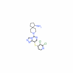 N[C@@H]1CCCC12CCN(c1ncc(Sc3ccnc(Cl)c3Cl)c3nncn13)CC2